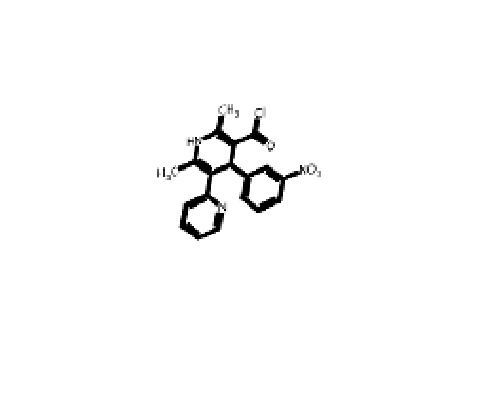 CC1=C(C(=O)Cl)C(c2cccc([N+](=O)[O-])c2)C(c2ccccn2)=C(C)N1